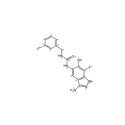 Nc1n[nH]c2c(F)c(O)c(NC(=O)NCc3cccc(F)c3)cc12